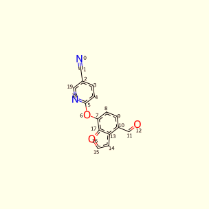 N#Cc1ccc(Oc2ccc(C=O)c3ccoc23)nc1